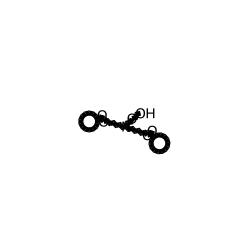 O=C(OCCCCCCN(CCCCCCOC(=O)C1CCCCCCCCCCCCC1)CCOCCO)C1CCCCCCCCCCCCC1